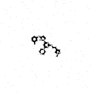 Cc1cccc(OC2C=CN(c3cc(N4CCOCC4)nc(OCCc4cnn(C)c4)n3)N2)c1